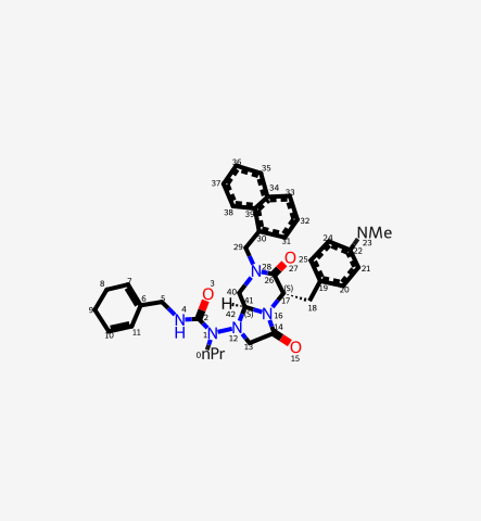 CCCN(C(=O)NCC1=CCCC=C1)N1CC(=O)N2[C@@H](Cc3ccc(NC)cc3)C(=O)N(Cc3cccc4ccccc34)C[C@@H]21